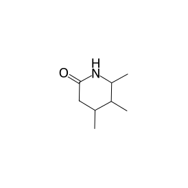 CC1CC(=O)NC(C)C1C